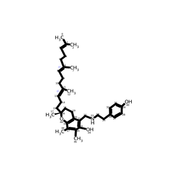 CC(C)=CCC/C(C)=C/CC/C(C)=C/CC[C@]1(C)CCc2c(CNCCc3ccc(O)cc3)c(O)c(C)c(C)c2O1